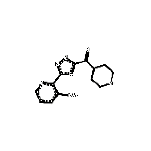 COc1cccnc1-c1nnc(C(=O)C2CCNCC2)o1